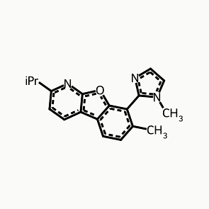 Cc1ccc2c(oc3nc(C(C)C)ccc32)c1-c1nccn1C